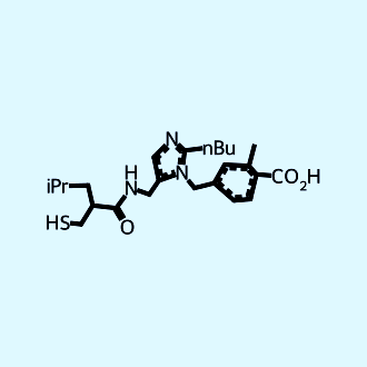 CCCCc1ncc(CNC(=O)C(CS)CC(C)C)n1Cc1ccc(C(=O)O)c(C)c1